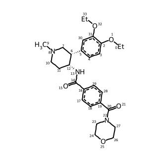 CCOc1ccc([C@H]2CN(C)CC[C@H]2NC(=O)c2ccc(C(=O)N3CCOCC3)cc2)cc1OCC